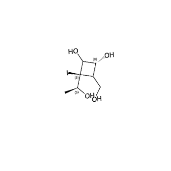 C[C@H](O)[C@]1(I)C(O)[C@H](O)C1CO